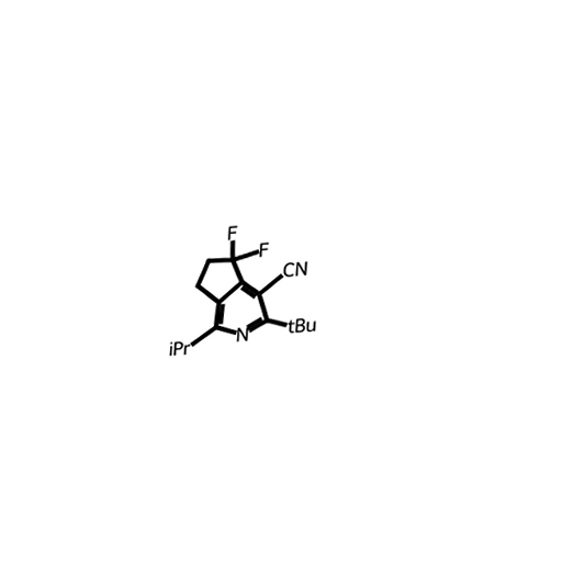 CC(C)c1nc(C(C)(C)C)c(C#N)c2c1CCC2(F)F